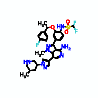 CC1CNCC(n2cc(-c3cnc(N)c4c(-c5ccc(NS(=O)(=O)C(F)F)c(O[C@@H](C)c6ccc(F)cc6)c5)nn(C)c34)cn2)C1